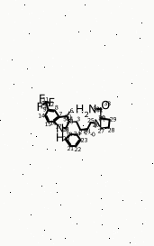 C[C@H](CC[C@@H]1[C@H](C)c2cc(C(F)(F)F)ccc2N[C@H]1C1C=CC=CC1)CN1CCC[C@@H]1C(N)=O